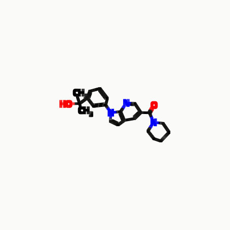 CC(C)(O)c1cccc(-n2ccc3cc(C(=O)N4CCCCC4)cnc32)c1